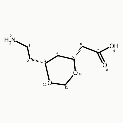 NCC[C@@H]1C[C@H](CC(=O)O)OCO1